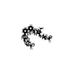 CCn1cc(CN2CC3(C2)CN(C(C)=O)C3)c2ncc(-c3cccc(-c4cccc(-c5cnc6c(n5)OC5CN(C(C)=O)CCN5C6)c4Cl)c3Cl)nc21